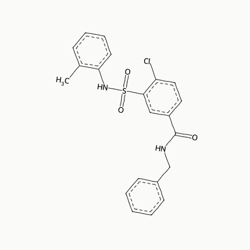 Cc1ccccc1NS(=O)(=O)c1cc(C(=O)NCc2ccccc2)ccc1Cl